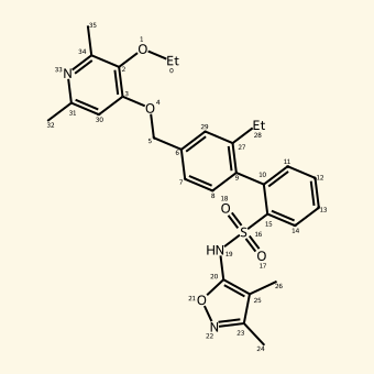 CCOc1c(OCc2ccc(-c3ccccc3S(=O)(=O)Nc3onc(C)c3C)c(CC)c2)cc(C)nc1C